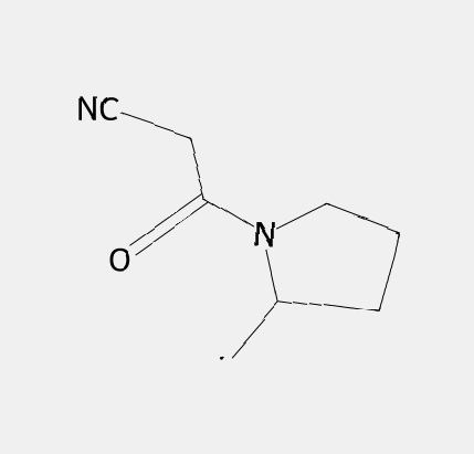 [CH2]C1CCCN1C(=O)CC#N